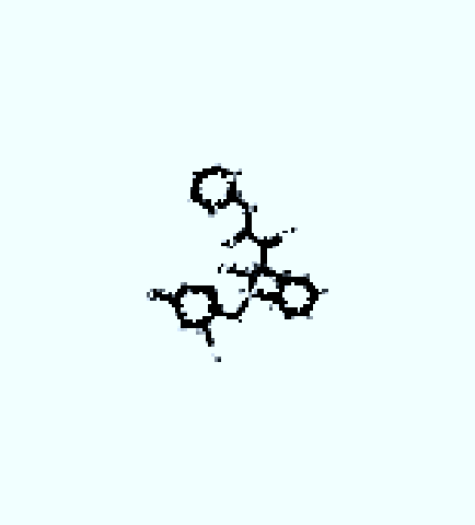 O=C(Nc1ncccn1)C(=O)c1c(Cl)n(Cc2ccc(Cl)cc2Cl)c2ccccc12